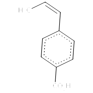 C/C=C\c1ccc(C(=O)O)cc1